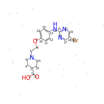 O=C(O)C1CCN(CCOc2ccc(Nc3ncc(Br)cn3)cc2)CC1